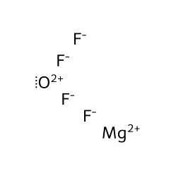 [F-].[F-].[F-].[F-].[Mg+2].[O+2]